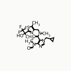 Cc1sc(C(C)(O)C(F)(F)F)nc1CN(C)C(=O)c1c(N(C)C=O)ncn1CC1CC1